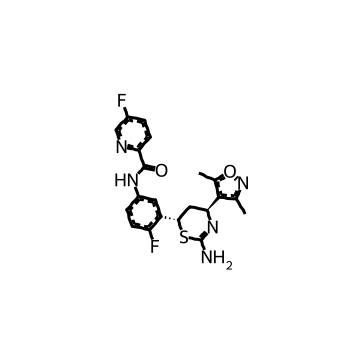 Cc1noc(C)c1[C@@H]1C[C@@H](c2cc(NC(=O)c3ccc(F)cn3)ccc2F)SC(N)=N1